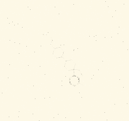 COCCN1CCN(C2CCC(CN)(c3cccc(Cl)c3)CC2)CC1